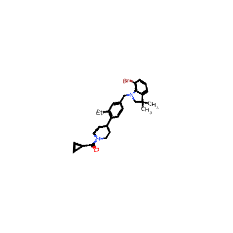 CCc1cc(CN2CC(C)(C)c3cccc(Br)c32)ccc1C1CCN(C(=O)C2CC2)CC1